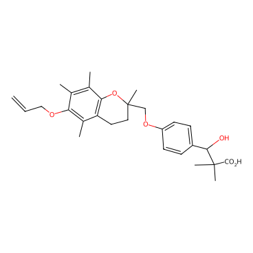 C=CCOc1c(C)c(C)c2c(c1C)CCC(C)(COc1ccc(C(O)C(C)(C)C(=O)O)cc1)O2